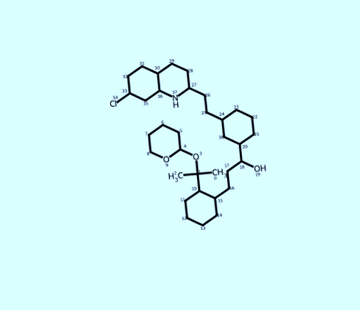 CC(C)(OC1CCCCO1)C1CCCCC1CCC(O)C1CCCC(CCC2CCC3CCC(Cl)CC3N2)C1